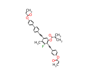 C=CC(=O)Oc1ccc(C#Cc2c(OC(=O)C(=C)C)cc(C#Cc3ccc(-c4ccc(OC(=O)C=C)cc4)cc3)c(C)c2F)cc1